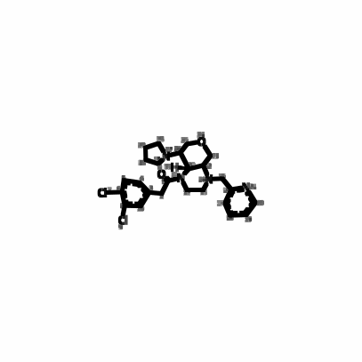 O=C(Cc1ccc(Cl)c(Cl)c1)N1CCN(Cc2ccccn2)C2COCC(N3CCCC3)[C@H]21